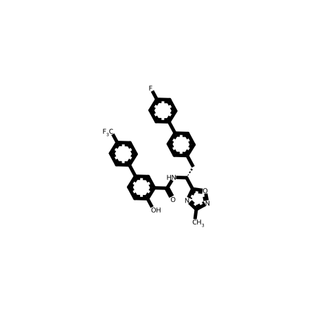 Cc1noc([C@@H](Cc2ccc(-c3ccc(F)cc3)cc2)NC(=O)c2cc(-c3ccc(C(F)(F)F)cc3)ccc2O)n1